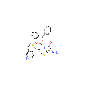 NC1C(=O)N2C(C(=O)OC(c3ccccc3)c3ccccc3)=C(CS/C=C\c3cccnc3)CS[C@@H]12